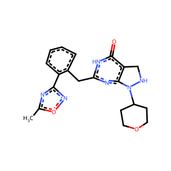 Cc1nc(-c2ccccc2Cc2nc3c(c(=O)[nH]2)CNN3C2CCOCC2)no1